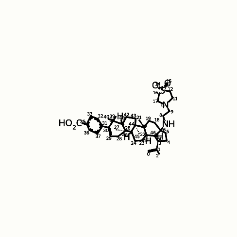 C=C(C)[C@@H]1CCC2(NCCN3CCS(=O)(=O)CC3)CC[C@]3(C)[C@H](CC[C@@H]4[C@@]5(C)CC=C(c6ccc(C(=O)O)cc6)C(C)(C)[C@@H]5CC[C@]43C)[C@@H]12